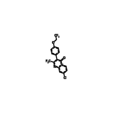 O=c1c(-c2ccc(OCC(F)(F)F)cc2)c(C(F)(F)F)nc2cc(Cl)ccn12